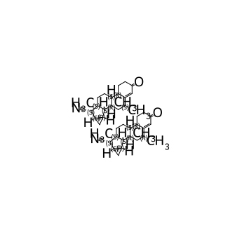 C[C@@H]1C[C@H]2[C@@H]3[C@@H]4C[C@@H]4[C@H](C#N)[C@@]3(C)CC[C@@H]2[C@@]2(C)CCC(=O)C=C12.C[C@H]1C[C@H]2[C@@H]3[C@@H]4C[C@@H]4[C@H](C#N)[C@@]3(C)CC[C@@H]2[C@@]2(C)CCC(=O)C=C12